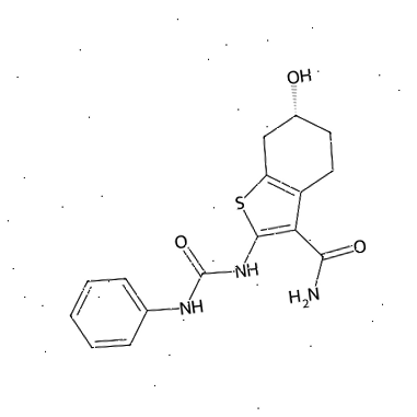 NC(=O)c1c(NC(=O)Nc2ccccc2)sc2c1CC[C@@H](O)C2